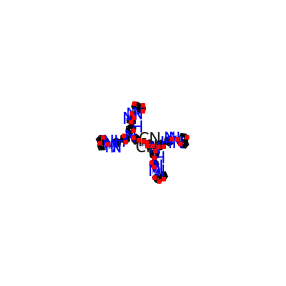 N#C/C(=C(/C#N)c1ccc(N(c2ccc(-c3ccc(/N=C4\Nc5cccc6cccc4c56)nc3)cc2)c2ccc(-c3ccc(/N=C4\Nc5cccc6cccc4c56)nc3)cc2)cc1)c1ccc(N(c2ccc(-c3ccc(/N=C4\Nc5cccc6cccc4c56)nc3)cc2)c2ccc(-c3ccc(/N=C4\Nc5cccc6cccc4c56)nc3)cc2)cc1